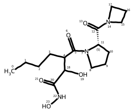 CCCCC(C(=O)N1CCC[C@H]1C(=O)N1CCC1)C(O)C(=O)NO